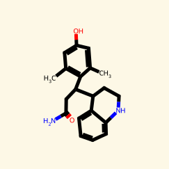 Cc1cc(O)cc(C)c1C(CC(N)=O)C1CCNc2ccccc21